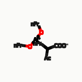 CCCC(C(C)=O)C(=O)[O-].CCC[O][Al+][O]CCC